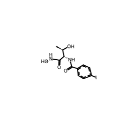 C[C@@H](O)[C@H](NC(=O)c1ccc(I)cc1)C(=O)NO